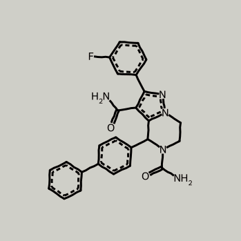 NC(=O)c1c(-c2cccc(F)c2)nn2c1C(c1ccc(-c3ccccc3)cc1)N(C(N)=O)CC2